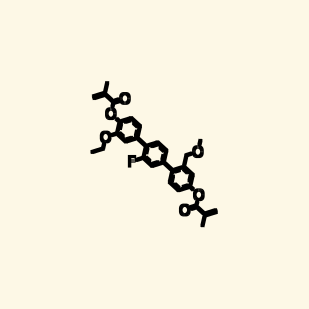 C=C(C)C(=O)Oc1ccc(-c2ccc(-c3ccc(OC(=O)C(=C)C)c(OCC)c3)c(F)c2)c(COC)c1